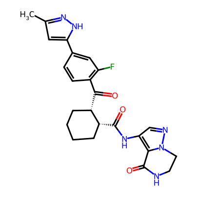 Cc1cc(-c2ccc(C(=O)[C@H]3CCCC[C@H]3C(=O)Nc3cnn4c3C(=O)NCC4)c(F)c2)[nH]n1